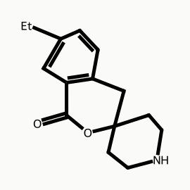 CCc1ccc2c(c1)C(=O)OC1(CCNCC1)C2